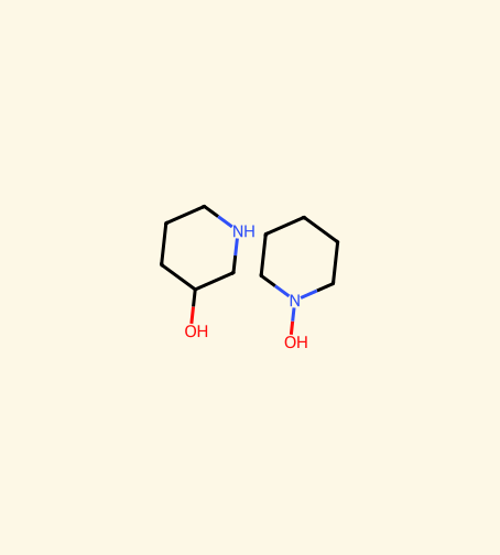 OC1CCCNC1.ON1CCCCC1